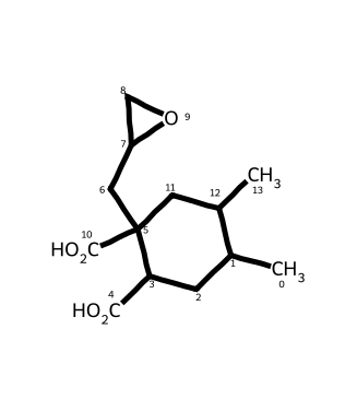 CC1CC(C(=O)O)C(CC2CO2)(C(=O)O)CC1C